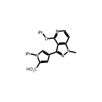 CC(C)Oc1nccc2c1c(-c1cc(C(=O)O)n(C(C)C)c1)nn2C